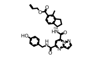 C=CCOC(=O)c1ccc2c(c1C)CC[C@@H]2NC(=O)c1cc(C(=O)NCc2ccc(O)cc2)nc2ccnn12